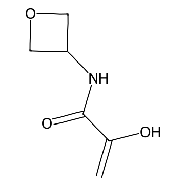 C=C(O)C(=O)NC1COC1